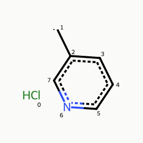 Cl.[CH2]c1cccnc1